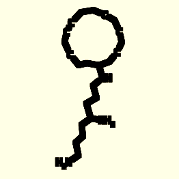 NCCCCC(N)CCCNC1CCCCCCCCCCCCCC1